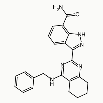 NC(=O)c1cccc2c(-c3nc4c(c(NCc5ccccc5)n3)CCCC4)n[nH]c12